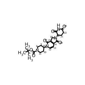 CC(C)(C)OC(=O)N1CCC(n2ccc3c(c2=O)CN([C@@H]2CCC(=O)NC2=O)C3=O)CC1